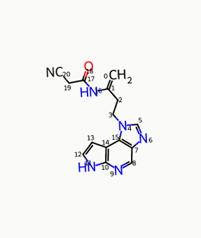 C=C(CCn1cnc2cnc3[nH]ccc3c21)NC(=O)CC#N